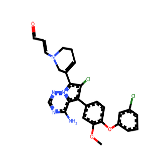 COc1cc(-c2c(Cl)c(C3=CCCN(C=CC=O)C3)n3ncnc(N)c23)ccc1Oc1cccc(Cl)c1